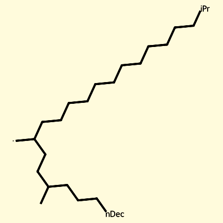 [CH2]C(CCCCCCCCCCCCC(C)C)CCC(C)CCCCCCCCCCCCC